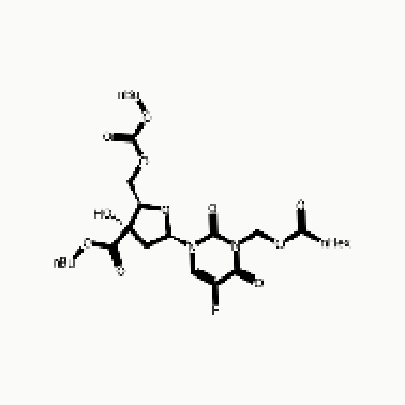 CCCCCCC(=O)OCn1c(=O)c(F)cn([C@H]2C[C@@](O)(C(=O)OCCCC)[C@@H](COC(=O)OCCCC)O2)c1=O